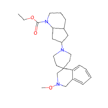 CCOC(=O)N1CCCC2CC(N3CCC4(CC3)CN(OC)Cc3ccccc34)CC21